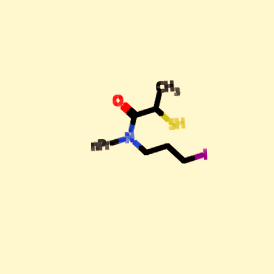 CCCN(CCCI)C(=O)C(C)S